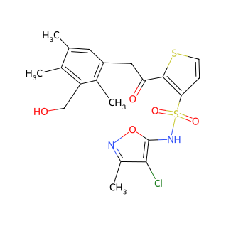 Cc1cc(CC(=O)c2sccc2S(=O)(=O)Nc2onc(C)c2Cl)c(C)c(CO)c1C